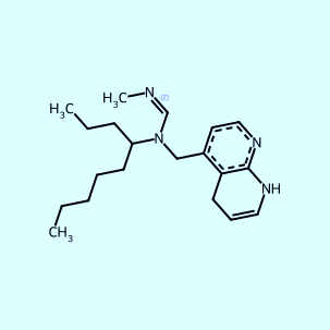 CCCCCC(CCC)N(/C=N\C)Cc1ccnc2c1CC=CN2